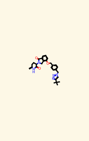 C=C1CCC(N2Cc3c(OCc4ccc(Cn5cc(C(C)(C)C)nn5)cc4)cccc3C2=O)C(=O)N1